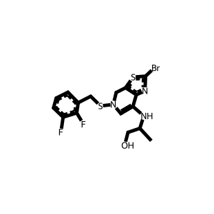 CC(CO)NC1=CN(SCc2cccc(F)c2F)Cc2sc(Br)nc21